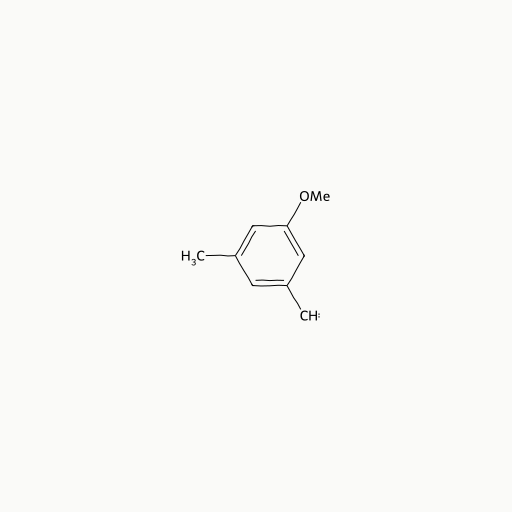 [CH]c1cc(C)cc(OC)c1